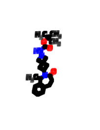 CC1c2ccccc2CCC(=O)N1C1CC2(C1)CN(NC(=O)OC(C)(C)C)C2